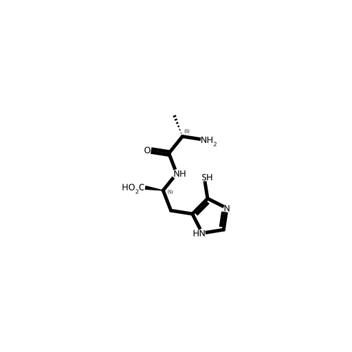 C[C@H](N)C(=O)N[C@@H](Cc1[nH]cnc1S)C(=O)O